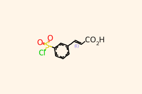 O=C(O)/C=C/c1cccc(S(=O)(=O)Cl)c1